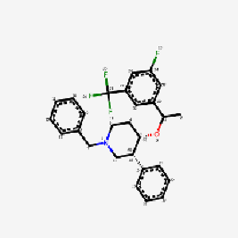 CC(O[C@H]1CCN(Cc2ccccc2)C[C@H]1c1ccccc1)c1cc(F)cc(C(F)(F)F)c1